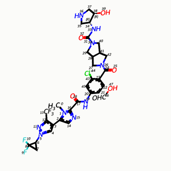 Cn1c(-c2cn(C3CC3(F)F)nc2C(F)(F)F)cnc1C(=O)Nc1ccc(C(=O)N2CC3CN(C(=O)N[C@@H]4CNC[C@H]4O)CC3C2)c(Cl)c1.O=CO